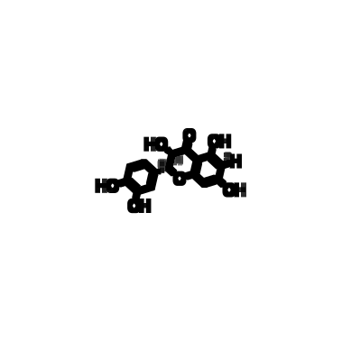 [2H]c1c(O)cc2c(c1O)C(=O)[C@H](O)[C@@H](c1ccc(O)c(O)c1)O2